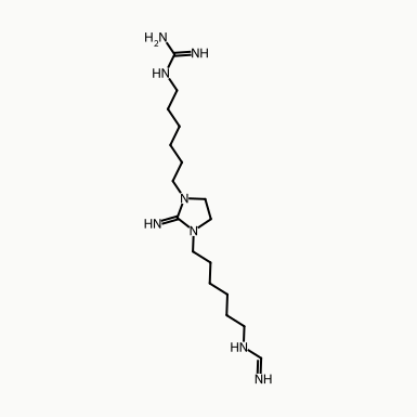 N=CNCCCCCCN1CCN(CCCCCCNC(=N)N)C1=N